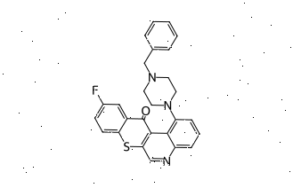 O=c1c2cc(F)ccc2sc2cnc3cccc(N4CCN(Cc5ccccc5)CC4)c3c12